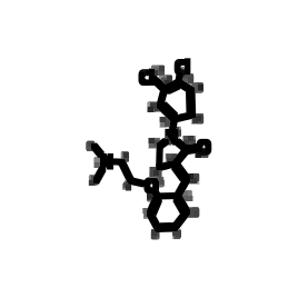 CN(C)CCOc1ccccc1C=C1CCN(c2ccc(Cl)c(Cl)c2)C1=O